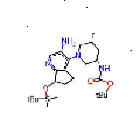 C[C@@H]1C[C@H](NC(=O)OC(C)(C)C)CN(c2c(N)cnc3c2CC[C@H]3O[Si](C)(C)C(C)(C)C)C1